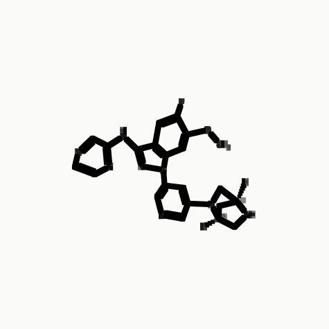 COc1cc2c(cc1F)c(Nc1cnccn1)nn2-c1cncc(N2C[C@@H]3C[C@H]2CN3)c1